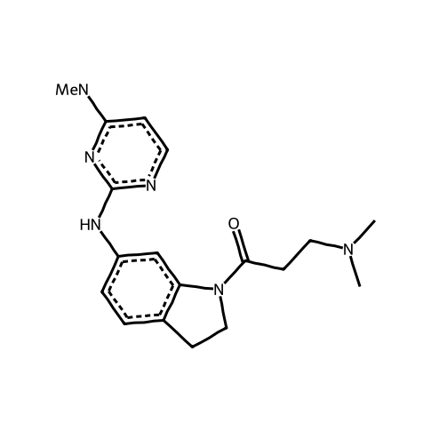 CNc1ccnc(Nc2ccc3c(c2)N(C(=O)CCN(C)C)CC3)n1